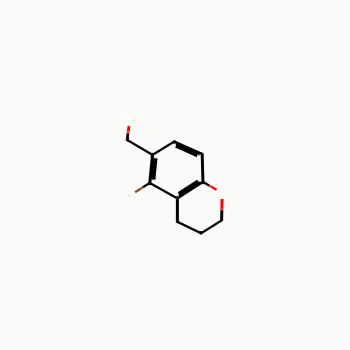 OCc1ccc2c(c1Br)CCCO2